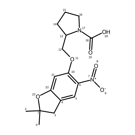 CC1(C)Cc2cc([N+](=O)[O-])c(OCC3CCCN3C(=O)O)cc2O1